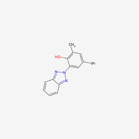 Cc1cc(C(C)C)cc(-n2nc3ccccc3n2)c1O